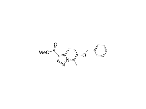 COC(=O)c1cnn2c(C)c(OCc3ccccc3)ccc12